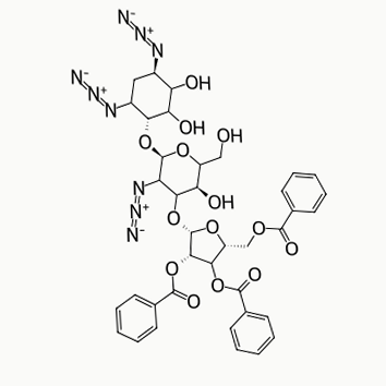 [N-]=[N+]=NC1C(O[C@@H]2O[C@H](COC(=O)c3ccccc3)C(OC(=O)c3ccccc3)[C@@H]2OC(=O)c2ccccc2)[C@H](O)C(CO)O[C@@H]1O[C@@H]1C(N=[N+]=[N-])C[C@@H](N=[N+]=[N-])C(O)C1O